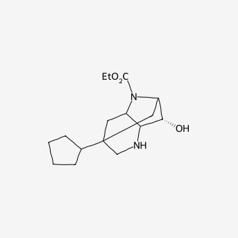 CCOC(=O)N1C2CC3(C4CCCC4)CNC2[C@@H](O)C1C3